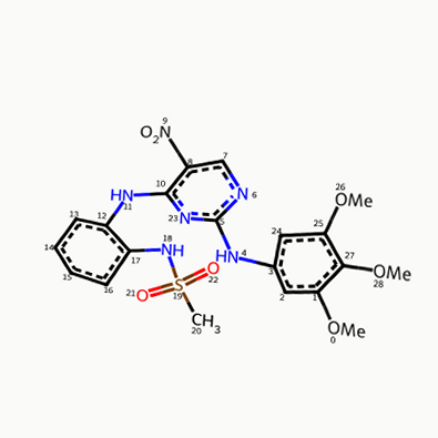 COc1cc(Nc2ncc([N+](=O)[O-])c(Nc3ccccc3NS(C)(=O)=O)n2)cc(OC)c1OC